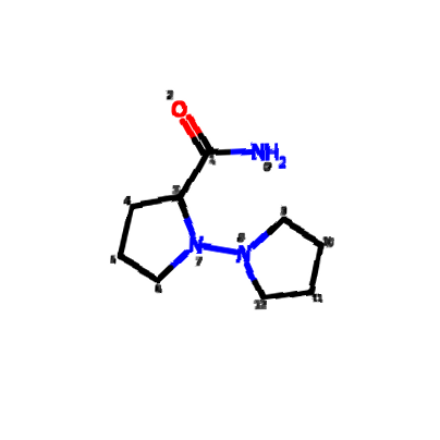 NC(=O)C1CCCN1N1CCCC1